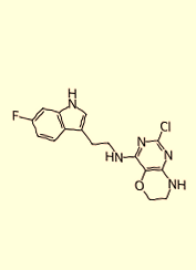 Fc1ccc2c(CCNc3nc(Cl)nc4c3OCCN4)c[nH]c2c1